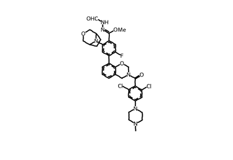 CO/C(=N\NC=O)c1cc(F)c(-c2cccc3c2OCN(C(=O)c2c(Cl)cc(N4CCN(C)CC4)cc2Cl)C3)cc1N1C2CCC1COC2